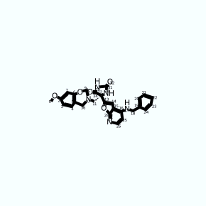 COc1ccc2c(c1)OCN(C[C@@]1(c3cc4c(NCc5ccccc5)ccnc4o3)NC(=O)NC1=O)C2